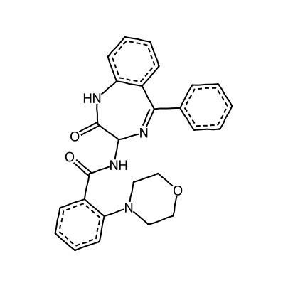 O=C(NC1N=C(c2ccccc2)c2ccccc2NC1=O)c1ccccc1N1CCOCC1